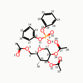 CC(=O)OC[C@H]1O[C@H](OP(=O)(Oc2ccccc2)Oc2ccccc2)[C@@H](OC(C)=O)[C@@H](OC(C)=O)[C@@H]1C